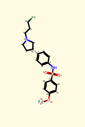 O=S(=O)(Nc1ccc([C@@H]2CCN(CCCF)C2)cc1)c1ccc(OC(F)(F)F)cc1